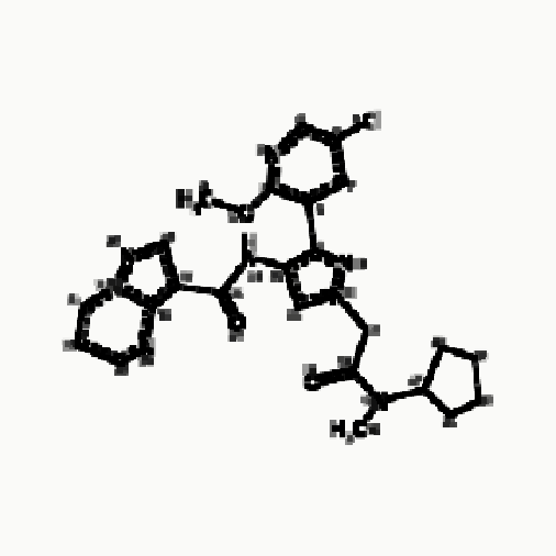 COc1ncc(Cl)cc1-c1nn(CC(=O)N(C)C2CCCC2)cc1NC(=O)c1cnn2cccnc12